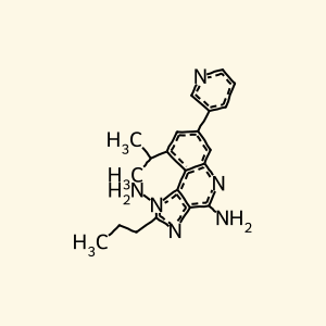 CCCc1nc2c(N)nc3cc(-c4cccnc4)cc(C(C)C)c3c2n1N